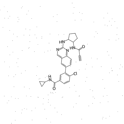 C#CC(=O)NC1CCCC1Nc1ncc2cc(-c3cc(C(=O)NC4CC4)ccc3Cl)ccc2n1